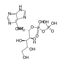 Nc1ncnc2[nH]cnc12.O=C[C@H](OP(=O)(O)OP(=O)(O)O)[C@@H](O)[C@H](O)[C@H](O)CO